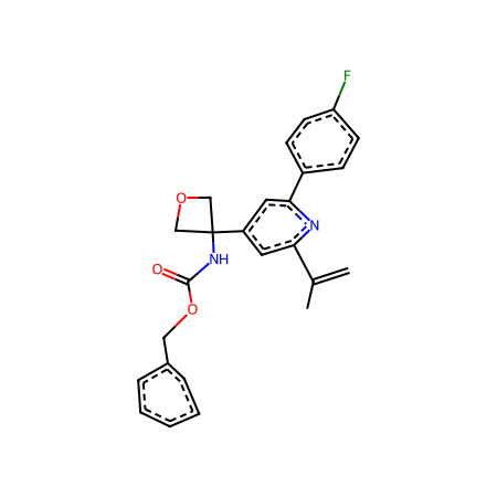 C=C(C)c1cc(C2(NC(=O)OCc3ccccc3)COC2)cc(-c2ccc(F)cc2)n1